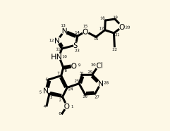 COc1c(C)ncc(C(=O)Nc2nnc(OCC3CCOC3C)s2)c1-c1ccnc(Cl)c1